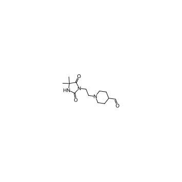 CC1(C)NC(=O)N(CCN2CCC(C=O)CC2)C1=O